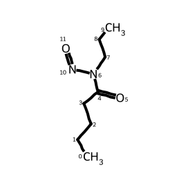 CCCCC(=O)N(CCC)N=O